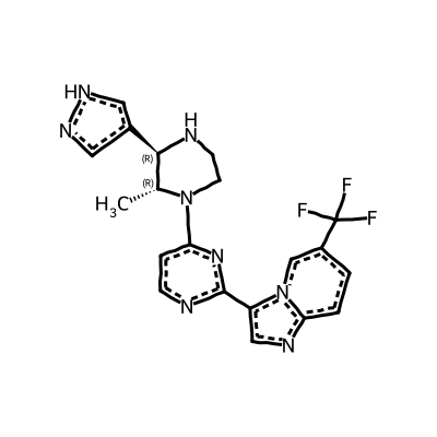 C[C@@H]1[C@@H](c2cn[nH]c2)NCCN1c1ccnc(-c2cnc3ccc(C(F)(F)F)cn23)n1